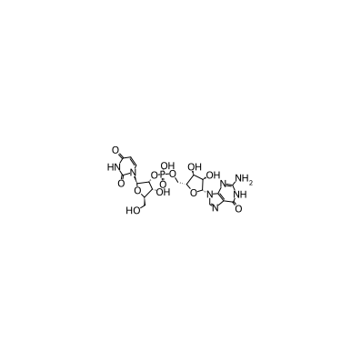 Nc1nc2c(ncn2[C@@H]2O[C@H](COP(=O)(O)O[C@@H]3[C@H](O)[C@@H](CO)O[C@H]3n3ccc(=O)[nH]c3=O)[C@@H](O)[C@H]2O)c(=O)[nH]1